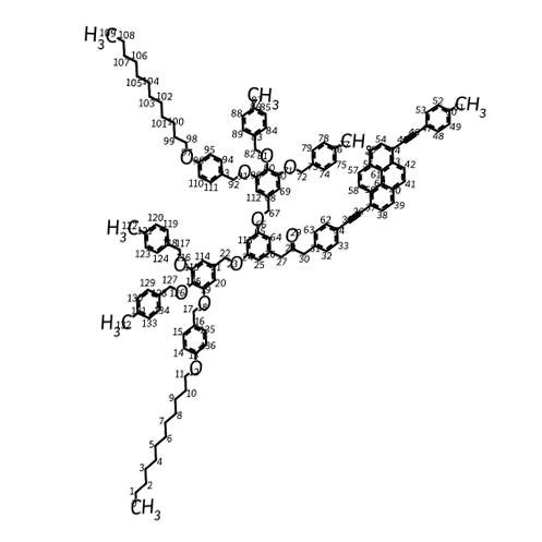 CCCCCCCCCCCCOc1ccc(COc2cc(COc3cc(CC(=O)Cc4ccc(C#Cc5ccc6ccc7c(C#Cc8ccc(C)cc8)ccc8ccc5c6c87)cc4)cc(OCc4cc(OCc5ccc(C)cc5)c(OCc5ccc(C)cc5)c(OCc5ccc(OCCCCCCCCCCCC)cc5)c4)c3)cc(OCc3ccc(C)cc3)c2OCc2ccc(C)cc2)cc1